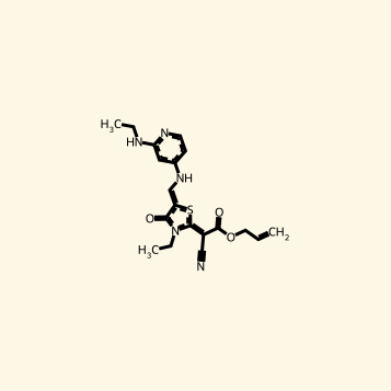 C=CCOC(=O)C(C#N)=c1sc(=CNc2ccnc(NCC)c2)c(=O)n1CC